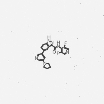 O=C(Nc1c(F)cncc1F)c1n[nH]c2ccc(-c3cncc(N4CCCC4)c3)cc12